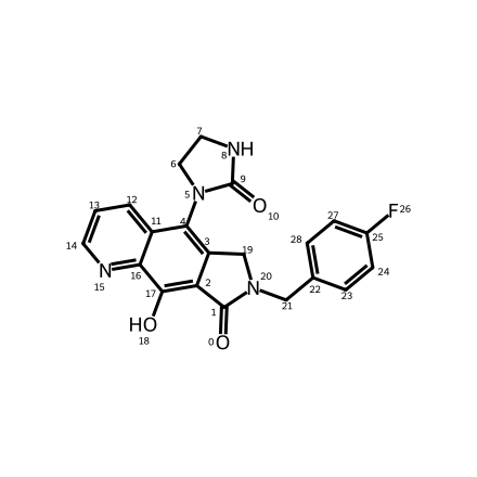 O=C1c2c(c(N3CCNC3=O)c3cccnc3c2O)CN1Cc1ccc(F)cc1